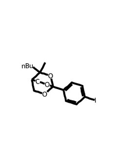 CCCCC1(C)OC2(c3ccc(I)cc3)OCC1CO2